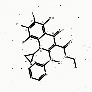 CCOC(=O)c1c([S+]([O-])c2ccccc2)n(C2CC2)c2c(F)c(F)c(F)c(F)c2c1=O